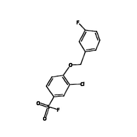 O=S(=O)(F)c1ccc(OCc2cccc(F)c2)c(Cl)c1